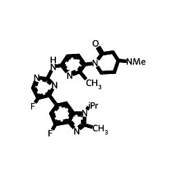 CNC1CCN(c2ccc(Nc3ncc(F)c(-c4cc(F)c5nc(C)n(C(C)C)c5c4)n3)nc2C)C(=O)C1